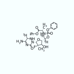 [2H]C1NN([C@@H]2O[C@H](C([2H])([2H])O[P@@](=O)(N[C@@H](C)C(=O)OC(C)C)Oc3ccccc3)[C@@H](O)[C@@]2(C)F)C(=O)N=C1N